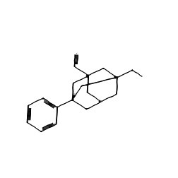 O=CC12CC3CC(CCl)(C1)CC(c1ccccc1)(C3)C2